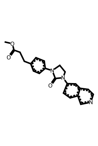 COC(=O)CCc1ccc(N2CCN(c3ccc4cnccc4c3)C2=O)cc1